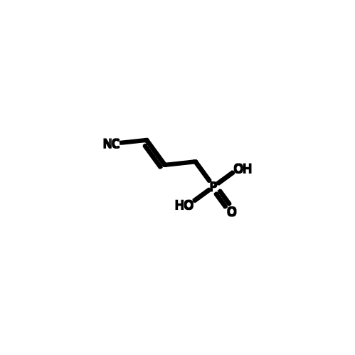 N#CC=CCP(=O)(O)O